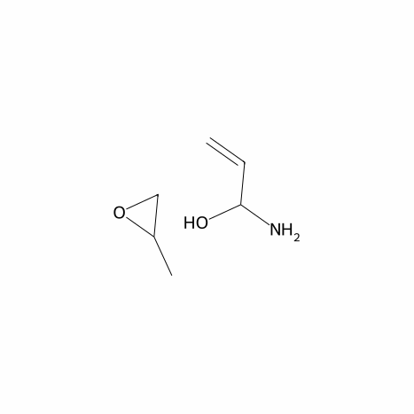 C=CC(N)O.CC1CO1